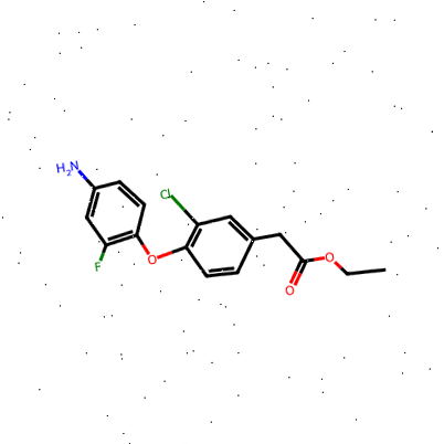 CCOC(=O)Cc1ccc(Oc2ccc(N)cc2F)c(Cl)c1